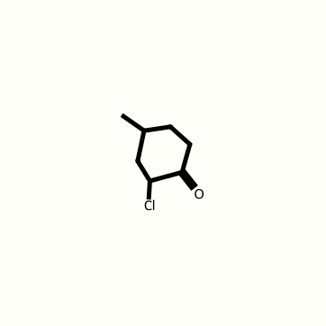 CC1CCC(=O)C(Cl)C1